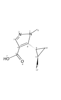 Cn1ncc(C(=O)O)c1[C@@H]1C[C@H]1F